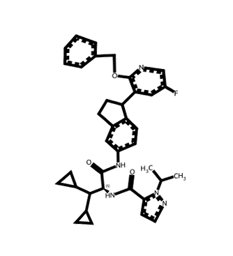 CC(C)n1nccc1C(=O)N[C@H](C(=O)Nc1ccc2c(c1)CCC2c1cc(F)cnc1OCc1ccccc1)C(C1CC1)C1CC1